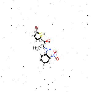 C[C@@H](Nc1ccccc1[N+](=O)[O-])C(=O)c1ccc(Br)s1